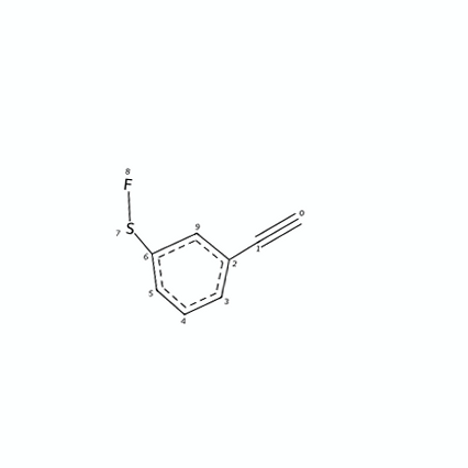 C#Cc1cccc(SF)c1